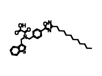 CCCCCCCCCCCc1noc(-c2ccc(CN(Cc3csc4ccccc34)C(=O)C(=O)O)cc2)n1